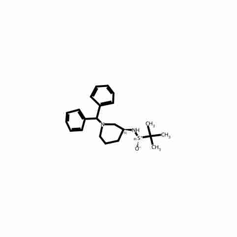 CC(C)(C)[S@+]([O-])N[C@H]1CCCN(C(c2ccccc2)c2ccccc2)C1